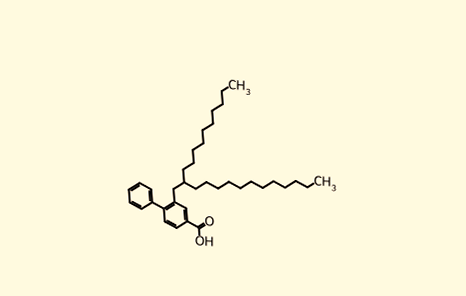 CCCCCCCCCCCCC(CCCCCCCCCC)Cc1cc(C(=O)O)ccc1-c1ccccc1